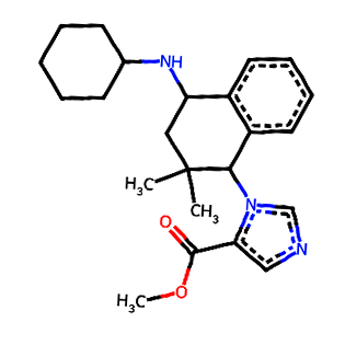 COC(=O)c1cncn1C1c2ccccc2C(NC2CCCCC2)CC1(C)C